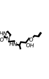 C=CCOCC(O)CC(C)NCCN1CCNC1=O